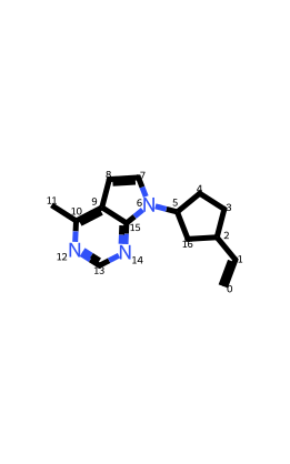 C=CC1CCC(n2ccc3c(C)ncnc32)C1